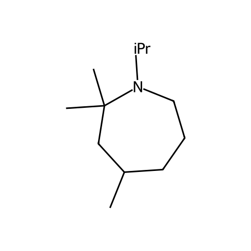 CC1CCCN(C(C)C)C(C)(C)C1